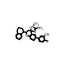 CN1OC2(CC(C3CCCc4ccccc43)Oc3ccc(-c4ccc(F)c(C#N)c4)cc32)N=C1N